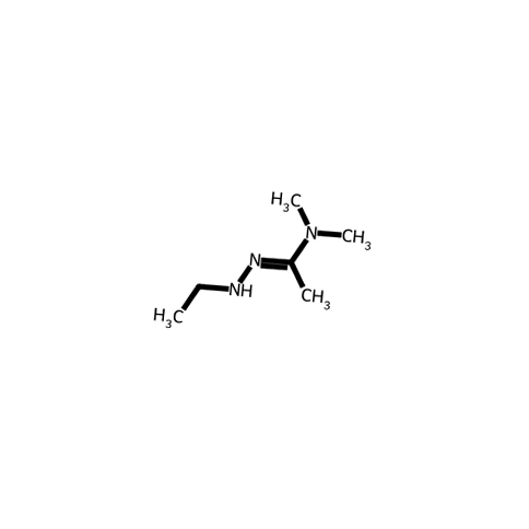 CCN/N=C(\C)N(C)C